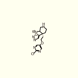 CC(C)(C)C1CNCC[C@@]1(CCOc1cnc(Cl)nc1)c1cnno1